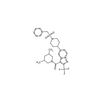 CC1CC(C)CN(C(=O)c2c(C(F)(F)F)nn3ccc(C4CCN(S(=O)(=O)Cc5ccccc5)CC4)cc23)C1